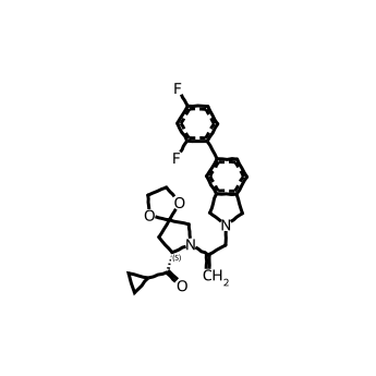 C=C(CN1Cc2ccc(-c3ccc(F)cc3F)cc2C1)N1CC2(C[C@H]1C(=O)C1CC1)OCCO2